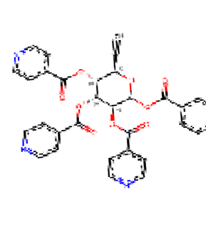 C#C[C@H]1OC(OC(=O)c2ccncc2)[C@@H](OC(=O)c2ccncc2)[C@H](OC(=O)c2ccncc2)[C@@H]1OC(=O)c1ccncc1